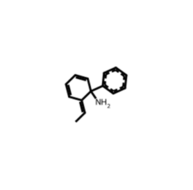 CC=C1C=CC=CC1(N)c1ccccc1